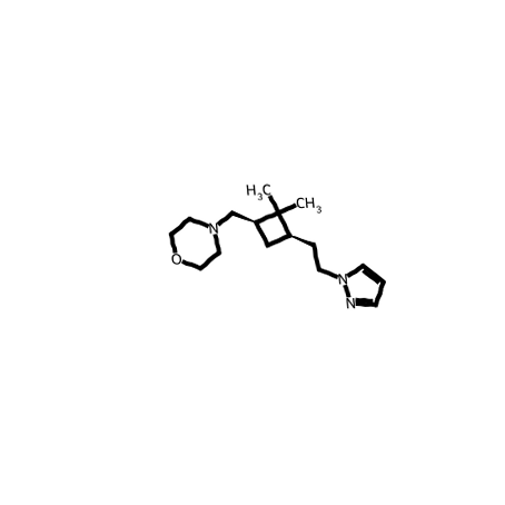 CC1(C)[C@@H](CCn2cccn2)C[C@H]1CN1CCOCC1